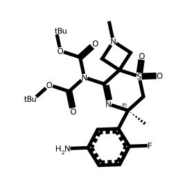 CN1CC2(C1)C(N(C(=O)OC(C)(C)C)C(=O)OC(C)(C)C)=N[C@](C)(c1cc(N)ccc1F)CS2(=O)=O